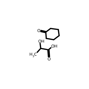 CC(O)C(=O)O.O=C1CCCCC1